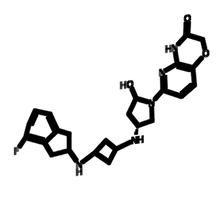 O=C1COc2ccc(N3C[C@H](NC4CC(NC5Cc6cccc(F)c6C5)C4)CC3O)nc2N1